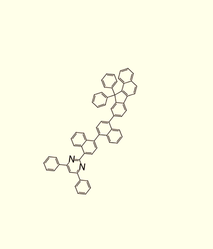 c1ccc(-c2cc(-c3ccccc3)nc(-c3ccc(-c4ccc(-c5ccc6c(c5)C(c5ccccc5)(c5ccccc5)c5c-6ccc6ccccc56)c5ccccc45)c4ccccc34)n2)cc1